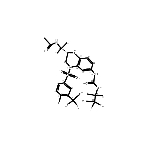 CC(=O)NC(C)(C)[C@H]1CN(S(=O)(=O)c2ccc(F)c(C(F)(F)F)c2)c2cc(NC(=O)OC(C)(C)C(F)(F)F)ccc2O1